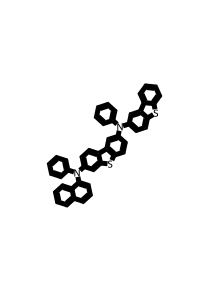 c1ccc(N(c2ccc3sc4ccccc4c3c2)c2ccc3sc4cc(N(c5ccccc5)c5cccc6ccccc56)ccc4c3c2)cc1